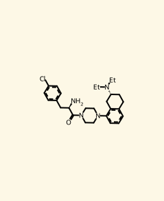 CCN(CC)[C@@H]1CCc2cccc(N3CCN(C(=O)[C@H](N)Cc4ccc(Cl)cc4)CC3)c2C1